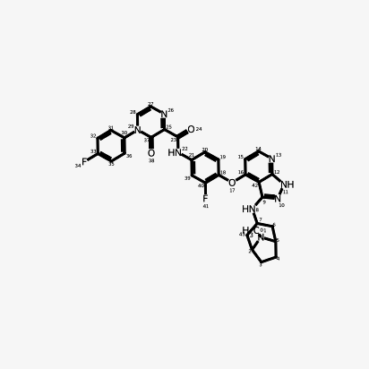 CN1C2CCC1CC(Nc1n[nH]c3nccc(Oc4ccc(NC(=O)c5nccn(-c6ccc(F)cc6)c5=O)cc4F)c13)C2